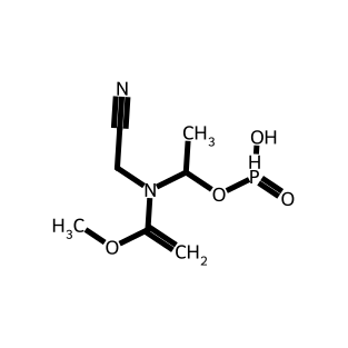 C=C(OC)N(CC#N)C(C)O[PH](=O)O